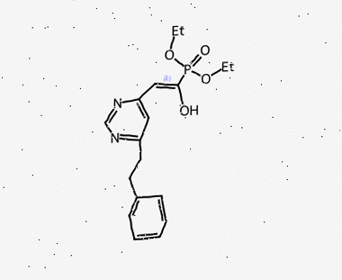 CCOP(=O)(OCC)/C(O)=C/c1cc(CCc2ccccc2)ncn1